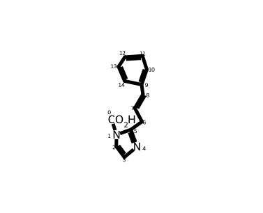 O=C(O)n1ccnc1CC=Cc1ccccc1